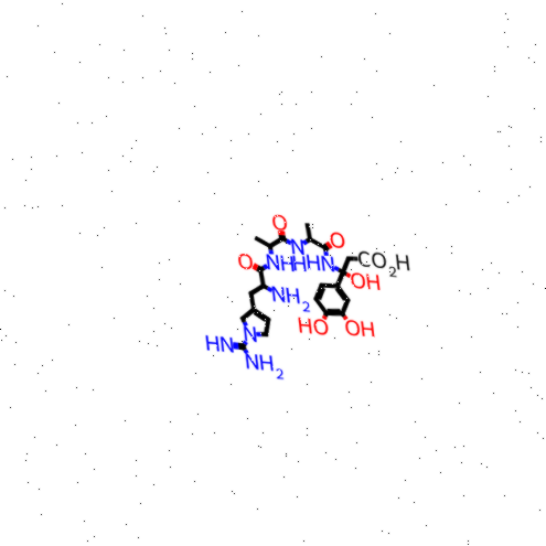 CC(NC(=O)C(N)CC1=CCN(C(=N)N)C1)C(=O)NC(C)C(=O)NC(O)(CC(=O)O)c1ccc(O)c(O)c1